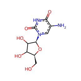 Nc1cn([C@H]2O[C@@H](CO)C(O)C2O)c(=O)[nH]c1=O